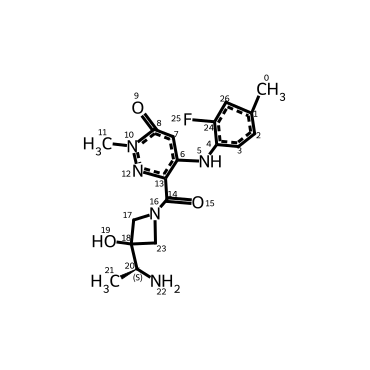 Cc1ccc(Nc2cc(=O)n(C)nc2C(=O)N2CC(O)([C@H](C)N)C2)c(F)c1